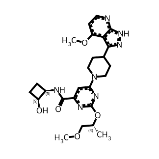 COC[C@@H](C)Oc1nc(C(=O)N[C@@H]2CC[C@@H]2O)cc(N2CCC(c3n[nH]c4nccc(OC)c34)CC2)n1